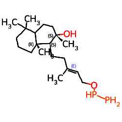 C/C(=C\COPP)CC[C@@H]1[C@@](C)(O)CCC2C(C)(C)CCC[C@]21C